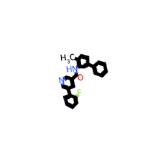 Cc1ccc(-c2ccccc2)cc1NC(=O)c1cncc(-c2ccccc2F)c1